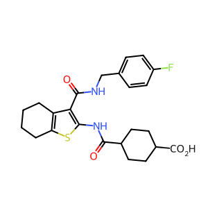 O=C(NCc1ccc(F)cc1)c1c(NC(=O)C2CCC(C(=O)O)CC2)sc2c1CCCC2